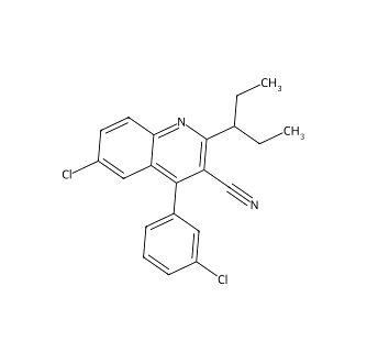 CCC(CC)c1nc2ccc(Cl)cc2c(-c2cccc(Cl)c2)c1C#N